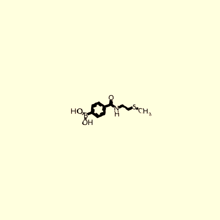 CSCCNC(=O)c1ccc(B(O)O)cc1